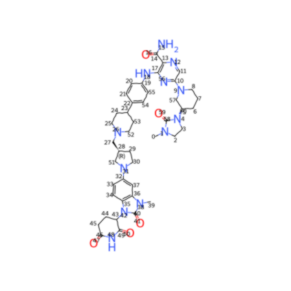 CN1CCN([C@@H]2CCCN(c3cnc(C(N)=O)c(Nc4ccc(C5CCN(C[C@H]6CCN(c7ccc8c(c7)n(C)c(=O)n8C7CCC(=O)NC7=O)C6)CC5)cc4)n3)C2)C1=O